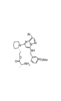 CO[n+]1cccc(CNc2cc(N3CCCC[C@H]3CCOC(=O)[C@@H](C)N)nc3c(Br)cnn23)c1